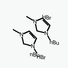 Br.Br.CCCCN1C=CN(C)C1.CCCCN1C=CN(C)C1